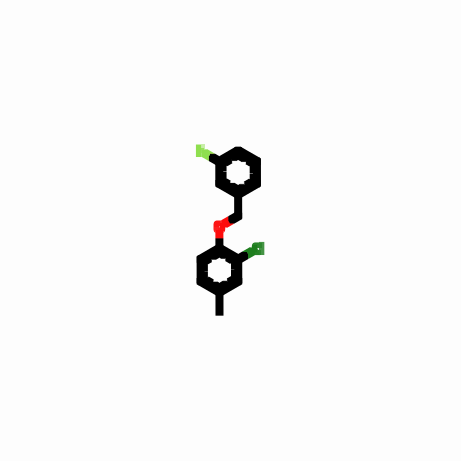 Cc1ccc(OCc2cccc(F)c2)c(Cl)c1